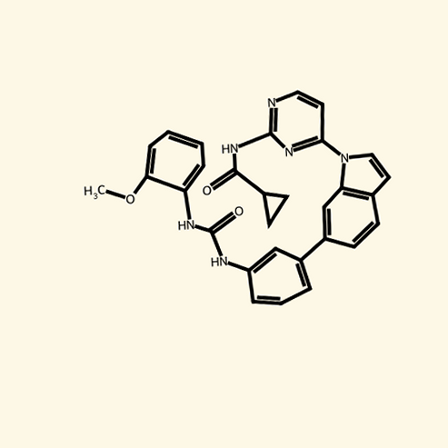 COc1ccccc1NC(=O)Nc1cccc(-c2ccc3ccn(-c4ccnc(NC(=O)C5CC5)n4)c3c2)c1